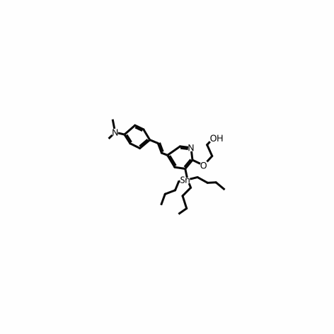 CCC[CH2][Sn]([CH2]CCC)([CH2]CCC)[c]1cc(C=Cc2ccc(N(C)C)cc2)cnc1OCCO